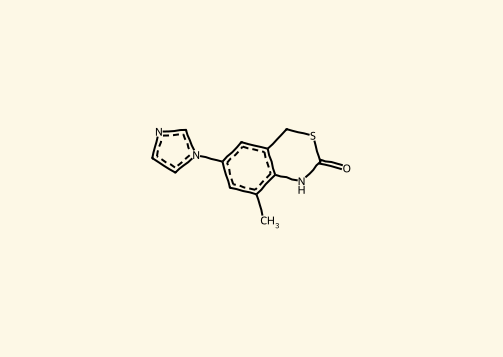 Cc1cc(-n2ccnc2)cc2c1NC(=O)SC2